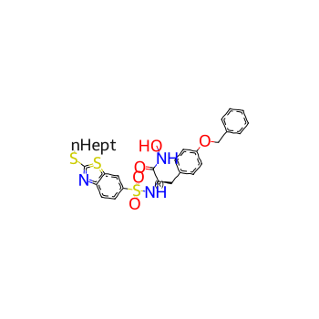 CCCCCCCSc1nc2ccc(S(=O)(=O)N[C@H](Cc3ccc(OCc4ccccc4)cc3)C(=O)NO)cc2s1